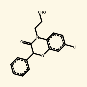 O=CCCN1C(=O)C(c2ccccc2)Oc2cc(Cl)ccc21